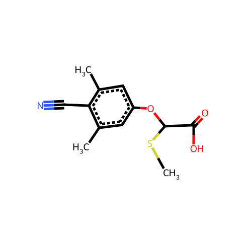 CSC(Oc1cc(C)c(C#N)c(C)c1)C(=O)O